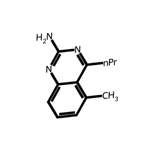 CCCc1nc(N)nc2cccc(C)c12